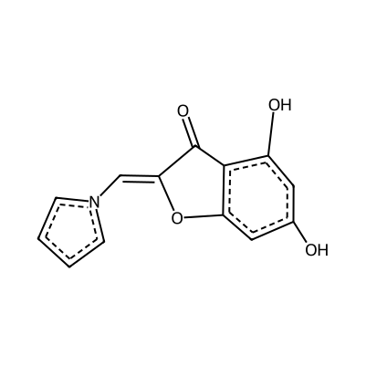 O=C1/C(=C/n2cccc2)Oc2cc(O)cc(O)c21